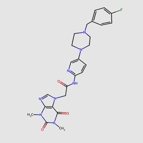 Cn1c(=O)c2c(ncn2CC(=O)Nc2ccc(N3CCN(Cc4ccc(F)cc4)CC3)cn2)n(C)c1=O